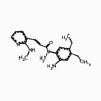 CCc1cc(N)c(N(P)C(=O)/C=C/c2cccnc2NC)cc1CC